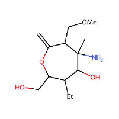 C=C1OC(CO)C(CC)C(O)C(C)(N)C1COC